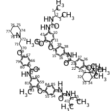 CCC(CC)NC(=O)Nc1ccc(Oc2ccc(NC(=O)c3ccc(OC4([N+](C)(C)C)CCCCC4)cc3)cc2)c(OC)c1.CCC(CC)NC(=O)Nc1ccc(Oc2ccc(NC(=O)c3ccc(OCCCN4CCCCC4)cc3)cc2C)cc1